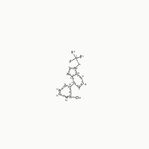 FC(F)(F)Cn1cnc2c(-c3cncnc3Cl)cccc21